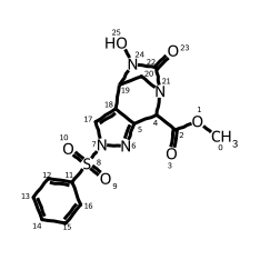 COC(=O)C1c2nn(S(=O)(=O)c3ccccc3)cc2C2CN1C(=O)N2O